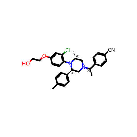 Cc1ccc([C@@H]2CN([C@H](C)c3ccc(C#N)cc3)C[C@@H](C)N2c2ccc(OCCO)cc2Cl)cc1